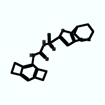 O=C(Nc1c2c(cc3c1CC3)CC2)NS(=O)(=O)c1cc2c(o1)C1CCN(CC1)C2